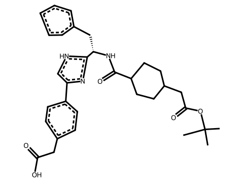 CC(C)(C)OC(=O)CC1CCC(C(=O)N[C@@H](Cc2ccccc2)c2nc(-c3ccc(CC(=O)O)cc3)c[nH]2)CC1